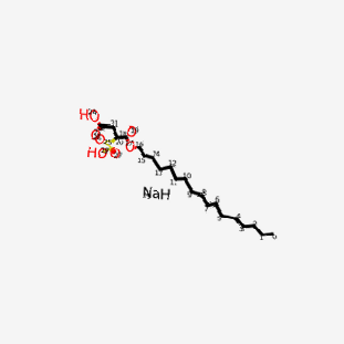 CCCCCCCCCCCCCCCCCOC(=O)C(CC(=O)O)S(=O)(=O)O.[NaH]